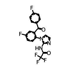 O=C(c1ccc(F)cc1)c1cc(F)ccc1-n1ccnc1NC(=O)C(F)(F)F